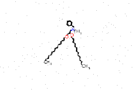 CCCCCCCCCCCCCCOCC(CN(C)Cc1ccccc1)OCCCCCCCCCCCCCC